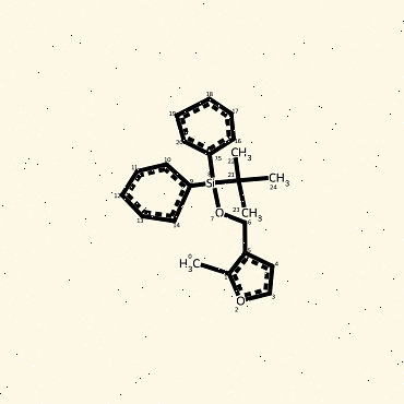 Cc1occc1CO[Si](c1ccccc1)(c1ccccc1)C(C)(C)C